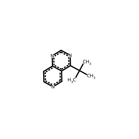 CC(C)(C)c1ncnc2ccncc12